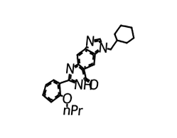 CCCOc1ccccc1-c1nc2cc3ncn(CC4CCCCC4)c3cc2c(=O)[nH]1